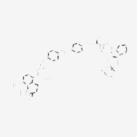 O=C(CCc1ccc(OCc2ccc(CNC[C@H](O)c3ccc(O)c4[nH]c(=O)ccc34)cc2)cc1)N1CCC(C(=O)O[C@H]2CN3CCC2CC3)(c2ccccc2)CC1